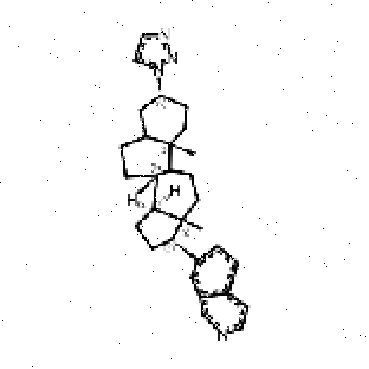 C[C@]12CC[C@H](n3ccnn3)CC1CC[C@@H]1C2CC[C@]2(C)[C@@H](c3ccc4ccncc4c3)CC[C@@H]12